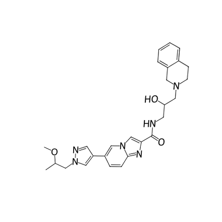 COC(C)Cn1cc(-c2ccc3nc(C(=O)NCC(O)CN4CCc5ccccc5C4)cn3c2)cn1